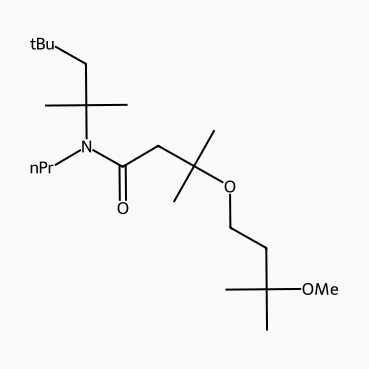 CCCN(C(=O)CC(C)(C)OCCC(C)(C)OC)C(C)(C)CC(C)(C)C